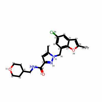 Cc1cc(C(=O)NCC2CCOCC2)nn1Cc1cc(Cl)cc2cc(C(C)C)oc12